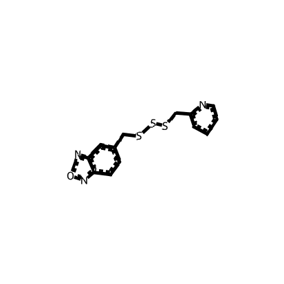 c1ccc(CSSSCc2ccc3nonc3c2)nc1